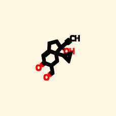 C#C[C@]1(O)CCC2=CC(=O)C(C=O)CC21C1CC1